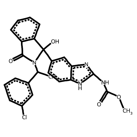 COC(=O)Nc1nc2cc(C3(O)c4ccccc4C(=O)N3C(C)c3cccc(Cl)c3)ccc2[nH]1